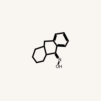 ON=C1c2ccccc2CC2CCCCC12